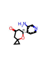 Nc1cnccc1[C@H]1CC(=O)CC2(CC2)O1